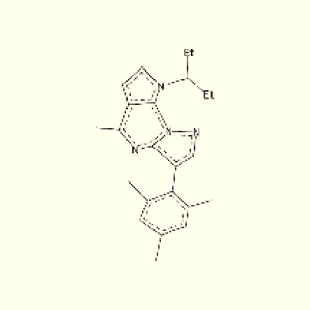 CCC(CC)n1ccc2c(C)nc3c(-c4c(C)cc(C)cc4C)cnn3c21